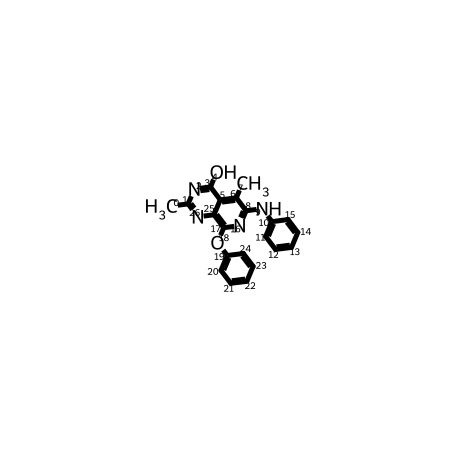 Cc1nc(O)c2c(C)c(Nc3ccccc3)nc(Oc3ccccc3)c2n1